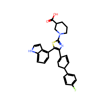 O=C(O)C1CCCN(c2nc(C3=CCC(c4ccc(F)cc4)C=C3)c(-c3cccc4[nH]ccc34)s2)C1